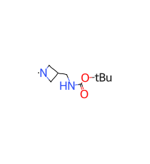 CC(C)(C)OC(=O)NCC1C[N]C1